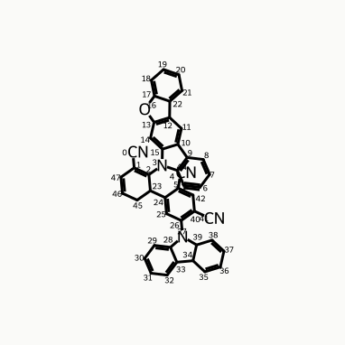 N#CC1=C(n2c3c#cccc3c3cc4c(cc32)oc2ccccc24)C(c2cc(N3c4ccccc4C4C=CC=CC43)c(C#N)cc2C#N)CC=C1